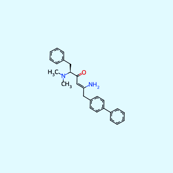 CN(C)[C@@H](Cc1ccccc1)C(=O)/C=C(\N)Cc1ccc(-c2ccccc2)cc1